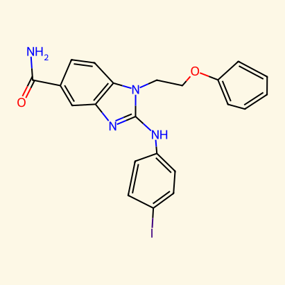 NC(=O)c1ccc2c(c1)nc(Nc1ccc(I)cc1)n2CCOc1ccccc1